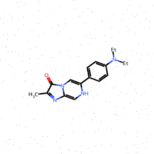 CCN(CC)c1ccc(-c2cn3c(=O)c(C)nc-3c[nH]2)cc1